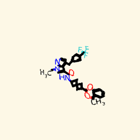 CCn1cc(C(=O)NC2CC3(C2)CC(C(=O)O[C@@H](C)c2ccccc2)C3)c2c(Cc3ccc(C(F)(F)F)cc3)ccnc21